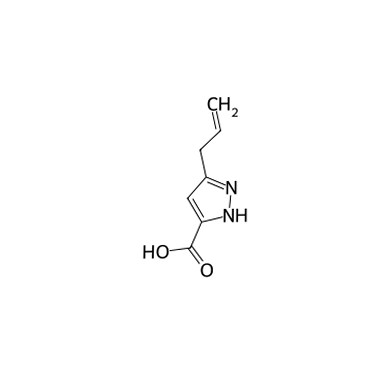 C=CCc1cc(C(=O)O)[nH]n1